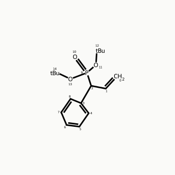 C=CC(c1ccccc1)P(=O)(OC(C)(C)C)OC(C)(C)C